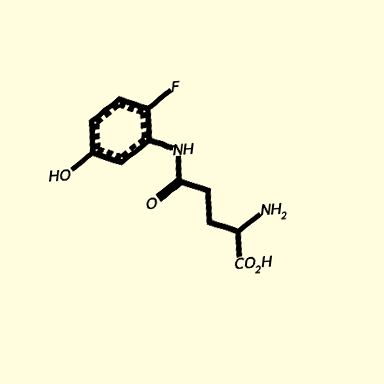 NC(CCC(=O)Nc1cc(O)ccc1F)C(=O)O